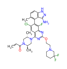 C=CC(=O)N1C[C@H](C)N(c2nc(OCCN3CCCC(F)(F)C3)nc3c(F)c(-c4c(C)ccc5[nH]nc(N)c45)c(Cl)cc23)C[C@H]1C